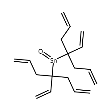 C=CC[C](C=C)(CC=C)[Sn](=[O])[C](C=C)(CC=C)CC=C